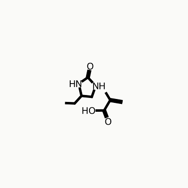 C=C(C)C(=O)O.CCC1CNC(=O)N1